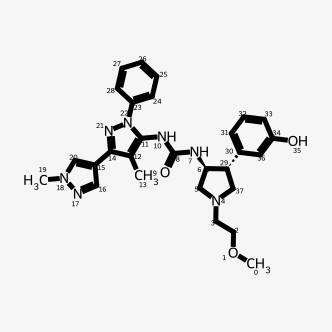 COCCN1C[C@@H](NC(=O)Nc2c(C)c(-c3cnn(C)c3)nn2-c2ccccc2)[C@H](c2cccc(O)c2)C1